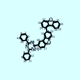 c1ccc(C2=NC(c3ccccc3)NC(c3ccc4oc5ccc(-c6cccc7oc8ccccc8c67)cc5c4c3)=N2)cc1